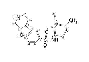 Cc1ccc(NS(=O)(=O)c2ccc3c(c2)C2CCNCC2O3)cc1F